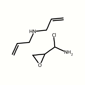 C=CCNCC=C.NC(Cl)C1CO1